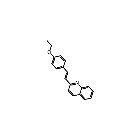 CCOc1ccc(C=Cc2ccc3ccccc3n2)cc1